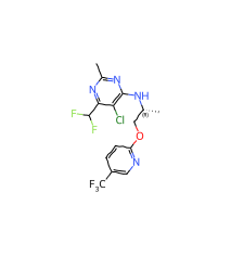 Cc1nc(N[C@H](C)COc2ccc(C(F)(F)F)cn2)c(Cl)c(C(F)F)n1